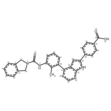 Cc1c(NC(=O)N2Cc3ccccc3C2)cccc1-c1ncnc2[nH]c(-c3ccc(C(=O)O)cc3)cc12